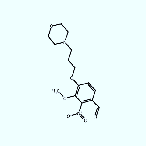 COc1c(OCCCN2CCOCC2)ccc(C=O)c1[N+](=O)[O-]